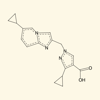 O=C(O)c1cn(Cc2cn3cc(C4CC4)ccc3n2)nc1C1CC1